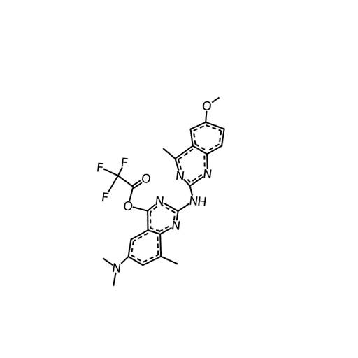 COc1ccc2nc(Nc3nc(OC(=O)C(F)(F)F)c4cc(N(C)C)cc(C)c4n3)nc(C)c2c1